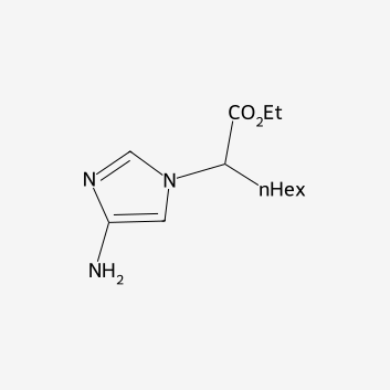 CCCCCCC(C(=O)OCC)n1cnc(N)c1